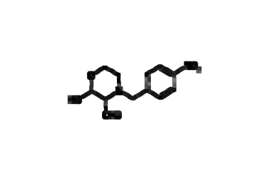 O=CC1C(O)OCCN1Cc1ccc([N+](=O)[O-])cc1